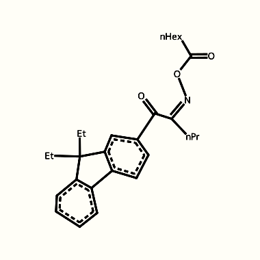 CCCCCCC(=O)O/N=C(/CCC)C(=O)c1ccc2c(c1)C(CC)(CC)c1ccccc1-2